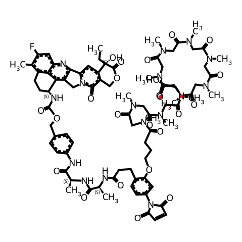 CC[C@@]1(O)C(=O)OCc2c1cc1n(c2=O)Cc2c-1nc1cc(F)c(C)c3c1c2[C@@H](NC(=O)OCc1ccc(NC(=O)[C@H](C)NC(=O)[C@H](C)NC(=O)CCc2ccc(N4C(=O)C=CC4=O)cc2OCCCC(=O)N(C)CC(=O)N(C)CC(=O)N(C)CC(=O)N(C)CC(=O)N(C)CC(=O)N(C)CC(=O)N(C)CC(=O)N(C)CC(=O)N(C)CC(=O)N(C)CC(=O)O)cc1)CC3